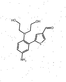 Nc1ccc(N(CCO)CCO)c(-c2cc(C=O)cs2)c1